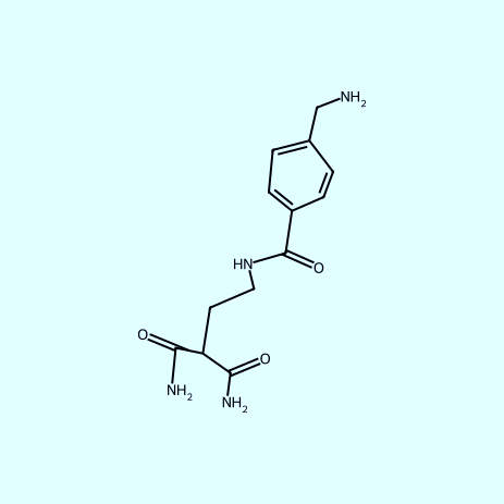 NCc1ccc(C(=O)NCCC(C(N)=O)C(N)=O)cc1